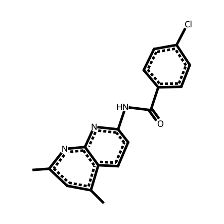 Cc1cc(C)c2ccc(NC(=O)c3ccc(Cl)cc3)nc2n1